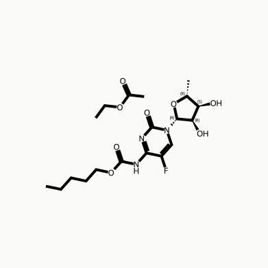 CCCCCOC(=O)Nc1nc(=O)n([C@@H]2O[C@H](C)[C@@H](O)[C@H]2O)cc1F.CCOC(C)=O